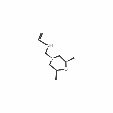 C=CNCN1C[C@@H](C)O[C@@H](C)C1